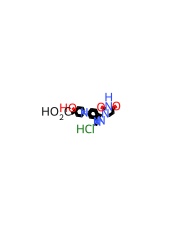 Cl.Cn1nc(N2CCC(=O)NC2=O)c2ccc(N3CCC(O)(CC(=O)O)CC3)cc21